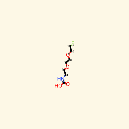 O=C(O)NCCOCCOCCF